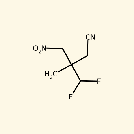 CC(CC#N)(C[N+](=O)[O-])C(F)F